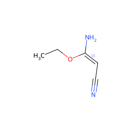 CCO/C(N)=C\C#N